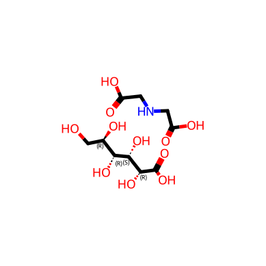 O=C(O)CNCC(=O)O.O=C(O)[C@H](O)[C@@H](O)[C@H](O)[C@H](O)CO